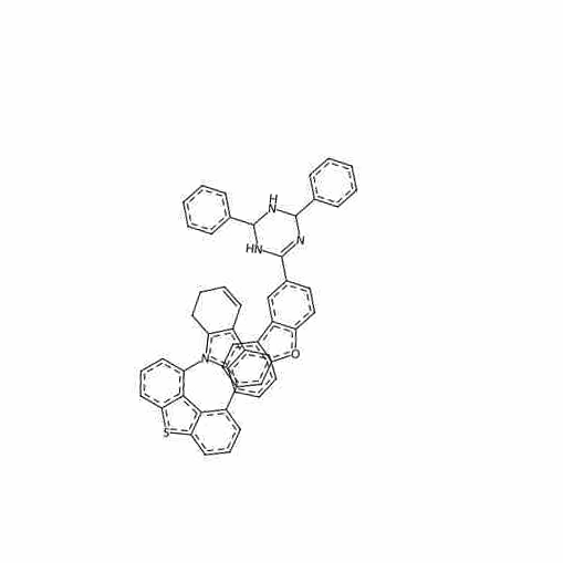 C1=Cc2c(n(-c3cccc4sc5cccc(-c6ccc7c(c6)oc6ccc(C8=NC(c9ccccc9)NC(c9ccccc9)N8)cc67)c5c34)c3ccccc23)CC1